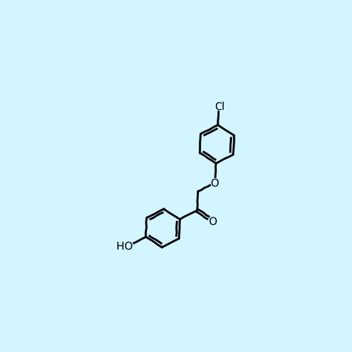 O=C(COc1ccc(Cl)cc1)c1ccc(O)cc1